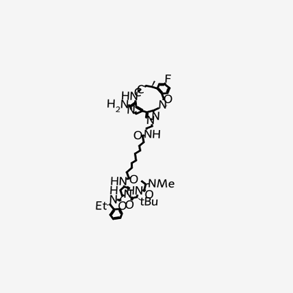 CC[C@H](NC(=O)[C@H]1C[C@@H](NC(=O)CCCCCCCCC(=O)NCCn2cc3c(n2)CN(C)C(=O)c2ccc(F)cc2[C@H](C)CCCNc2cc-3cnc2N)CN1C(=O)[C@H](NC(=O)[C@@H](C)NC)C(C)(C)C)c1ccccc1